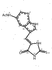 CC(=O)Nc1cnc2[nH]cc(C=C3NC(=S)NC3=O)c2c1